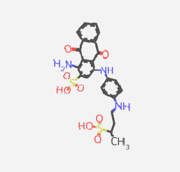 CC(CCNc1ccc(Nc2cc(S(=O)(=O)O)c(N)c3c2C(=O)c2ccccc2C3=O)cc1)S(=O)(=O)O